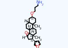 C[C@]12CC[C@H](OCCCN)C[C@H]1CC[C@@H]1[C@@H]2CC[C@]2(C)[C@@H](c3ccoc3)C[C@H]3O[C@]132